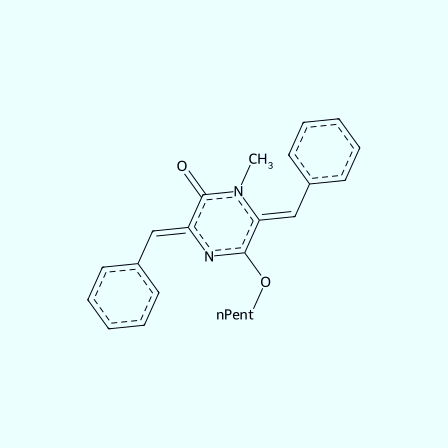 CCCCCOc1n/c(=C\c2ccccc2)c(=O)n(C)/c1=C\c1ccccc1